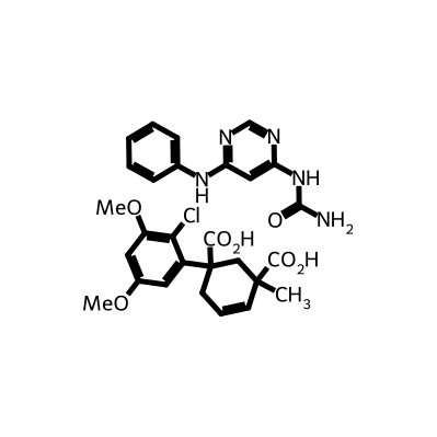 COc1cc(OC)c(Cl)c(C2(C(=O)O)CC=CC(C)(C(=O)O)C2)c1.NC(=O)Nc1cc(Nc2ccccc2)ncn1